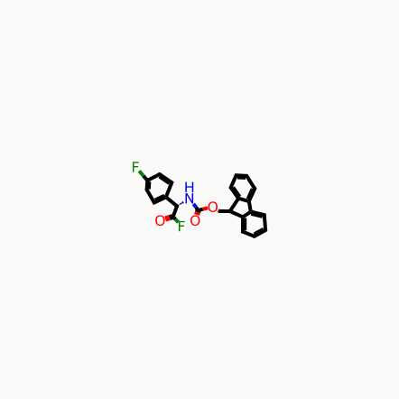 O=C(N[C@H](C(=O)F)c1ccc(F)cc1)OCC1c2ccccc2-c2ccccc21